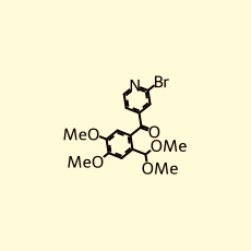 COc1cc(C(=O)c2ccnc(Br)c2)c(C(OC)OC)cc1OC